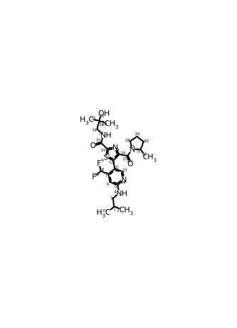 CC(C)CNc1cc(C(F)F)c(-c2sc(C(=O)NCC(C)(C)O)nc2C(=O)N2CCCC2C)cn1